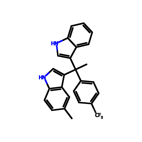 Cc1ccc2[nH]cc(C(C)(c3ccc(C(F)(F)F)cc3)c3c[nH]c4ccccc34)c2c1